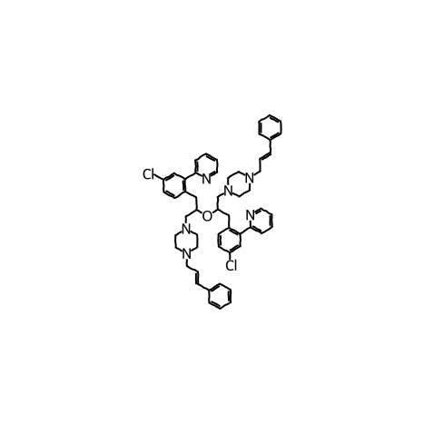 Clc1ccc(CC(CN2CCN(CC=Cc3ccccc3)CC2)OC(Cc2ccc(Cl)cc2-c2ccccn2)CN2CCN(CC=Cc3ccccc3)CC2)c(-c2ccccn2)c1